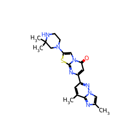 Cc1cn2nc(-c3cc(=O)n4cc(N5CCNC(C)(C)C5)sc4n3)cc(C)c2n1